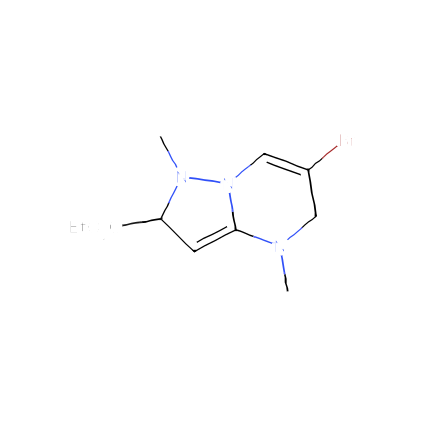 CCOC(=O)C1C=C2N(C)CC(Br)=CN2N1C